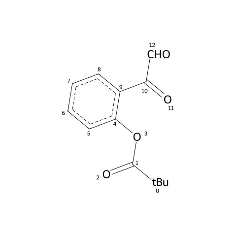 CC(C)(C)C(=O)Oc1ccccc1C(=O)C=O